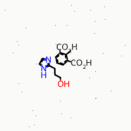 Cc1c(C(=O)O)cccc1C(=O)O.OCCCc1ncc[nH]1